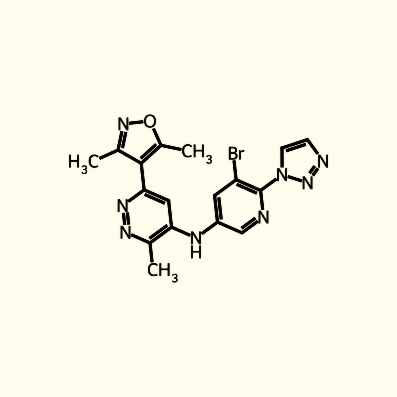 Cc1nnc(-c2c(C)noc2C)cc1Nc1cnc(-n2ccnn2)c(Br)c1